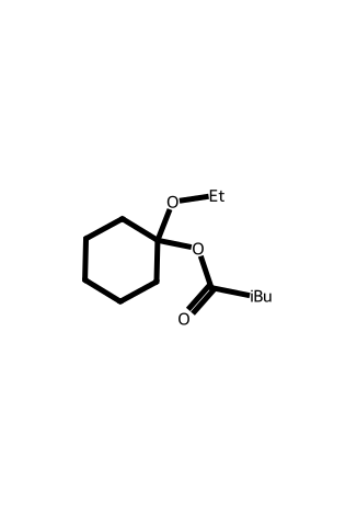 CCOC1(OC(=O)C(C)CC)CCCCC1